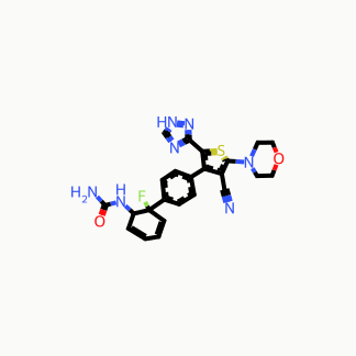 N#Cc1c(N2CCOCC2)sc(-c2nc[nH]n2)c1-c1ccc(C2(F)C=CC=CC2NC(N)=O)cc1